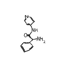 NC(C(=O)Nc1ccncc1)c1ccccc1